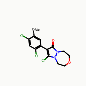 COc1cc(-c2c(Cl)n3n(c2=O)CCOCC3)c(Cl)cc1Cl